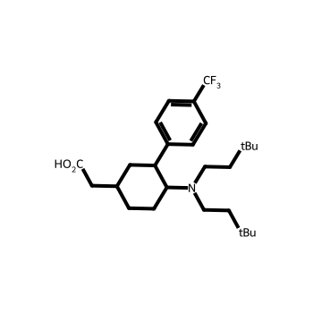 CC(C)(C)CCN(CCC(C)(C)C)C1CCC(CC(=O)O)CC1c1ccc(C(F)(F)F)cc1